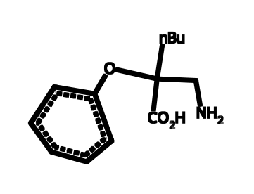 CCCCC(CN)(Oc1ccccc1)C(=O)O